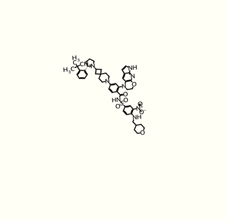 CC(C)(C)c1ccccc1[C@@H]1CCCN1C1CC2(CCN(c3ccc(C(=O)NS(=O)(=O)c4ccc(NCC5CCOCC5)c([N+](=O)[O-])c4)c(N4CCOc5nc6[nH]ccc6cc54)c3)CC2)C1